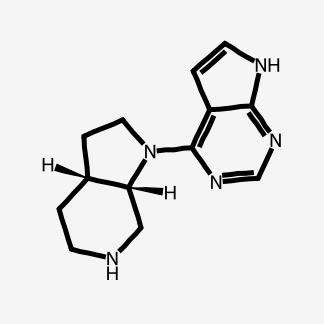 c1nc(N2CC[C@H]3CCNC[C@H]32)c2cc[nH]c2n1